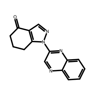 O=C1CCCc2c1cnn2-c1cnc2ccccc2n1